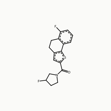 O=C(c1cc2c(s1)-c1cccc(F)c1CC2)N1CCC(F)C1